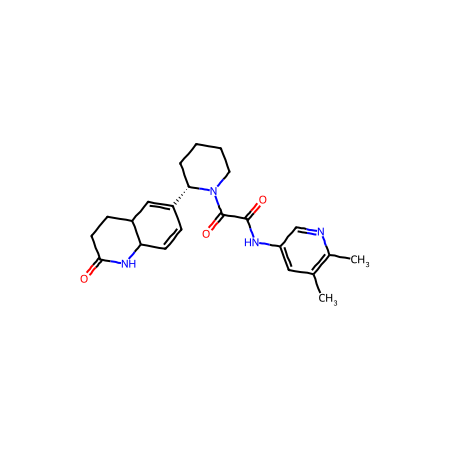 Cc1cc(NC(=O)C(=O)N2CCCC[C@H]2C2=CC3CCC(=O)NC3C=C2)cnc1C